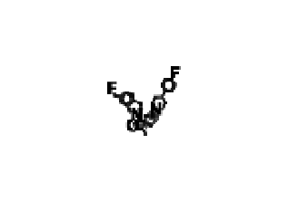 CC(C)[C@]1(C(=O)N2CCc3ccc(CF)cc3C2)CC[C@@H](N2CCC(c3ccc(F)cc3)CC2)C1